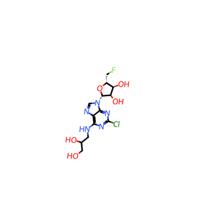 OCC(O)CNc1nc(Cl)nc2c1ncn2[C@@H]1O[C@H](CF)[C@@H](O)[C@H]1O